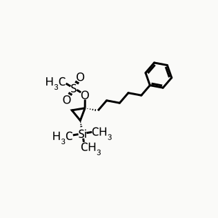 C[Si](C)(C)[C@@H]1C[C@@]1(CCCCCc1ccccc1)OS(C)(=O)=O